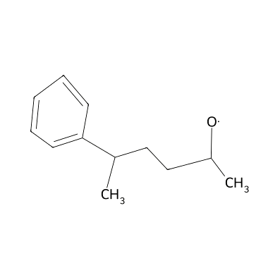 CC([O])CCC(C)c1ccccc1